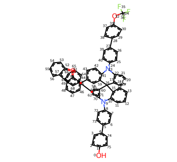 Oc1ccc(-c2ccc(N3c4ccccc4C4(c5ccccc5N(c5ccc(-c6ccc(OC(F)(F)F)cc6)cc5)c5ccc(-c6cccc7c6oc6ccccc67)cc54)c4cc(-c5ccccc5)ccc43)cc2)cc1